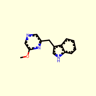 COc1cncc(Cc2c[nH]c3ccccc23)n1